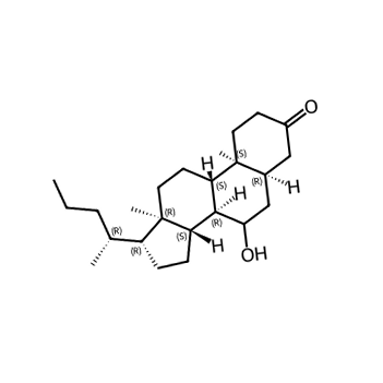 CCC[C@@H](C)[C@H]1CC[C@H]2[C@@H]3C(O)C[C@@H]4CC(=O)CC[C@]4(C)[C@H]3CC[C@]12C